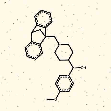 COc1ccc([C@@H](O)C2CCN(CC34CC(c5ccccc53)c3ccccc34)CC2)cc1